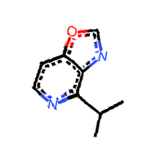 CC(C)c1nccc2ocnc12